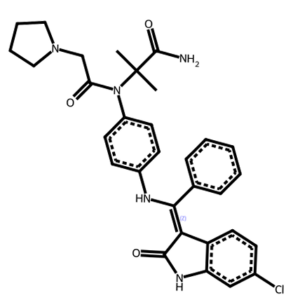 CC(C)(C(N)=O)N(C(=O)CN1CCCC1)c1ccc(N/C(=C2\C(=O)Nc3cc(Cl)ccc32)c2ccccc2)cc1